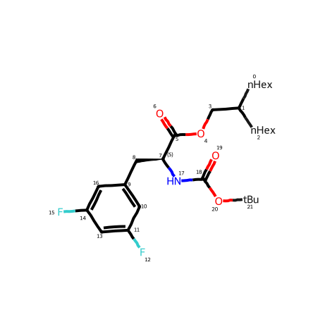 CCCCCCC(CCCCCC)COC(=O)[C@H](Cc1cc(F)cc(F)c1)NC(=O)OC(C)(C)C